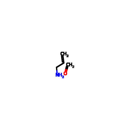 C=CCN.C=O